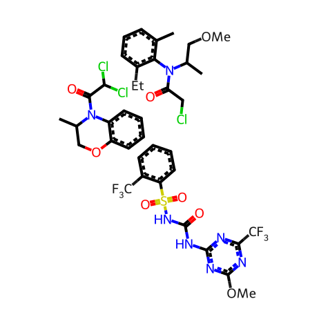 CC1COc2ccccc2N1C(=O)C(Cl)Cl.CCc1cccc(C)c1N(C(=O)CCl)C(C)COC.COc1nc(NC(=O)NS(=O)(=O)c2ccccc2C(F)(F)F)nc(C(F)(F)F)n1